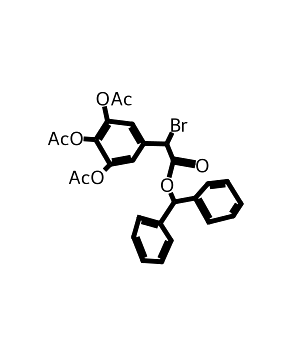 CC(=O)Oc1cc(C(Br)C(=O)OC(c2ccccc2)c2ccccc2)cc(OC(C)=O)c1OC(C)=O